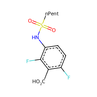 CCCCCS(=O)(=O)Nc1ccc(F)c(C(=O)O)c1F